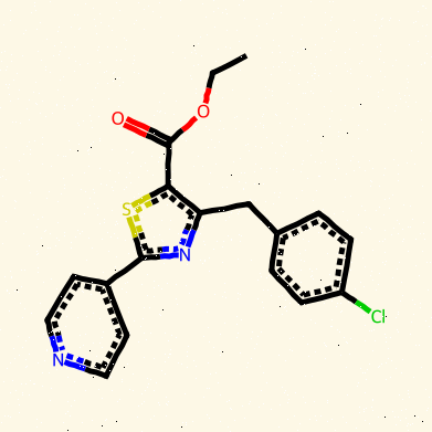 CCOC(=O)c1sc(-c2ccncc2)nc1Cc1ccc(Cl)cc1